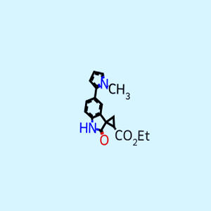 CCOC(=O)C1CC12C(=O)Nc1ccc(-c3cccn3C)cc12